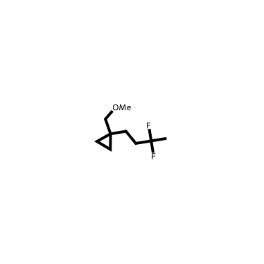 COCC1(CCC(C)(F)F)CC1